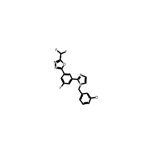 Fc1cc(-c2nnc(C(F)F)o2)cc(-c2nccn2Cc2cccc(Cl)c2)c1